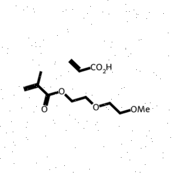 C=C(C)C(=O)OCCOCCOC.C=CC(=O)O